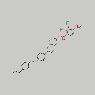 CCCC1CCC(CCc2ccc(C3CCC4CC(COc5ccc(OCC)c(F)c5F)CCC4C3)cc2)CC1